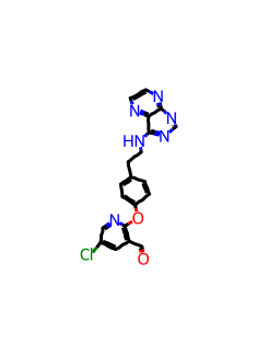 O=Cc1cc(Cl)cnc1Oc1ccc(CCNc2ncnc3nccnc23)cc1